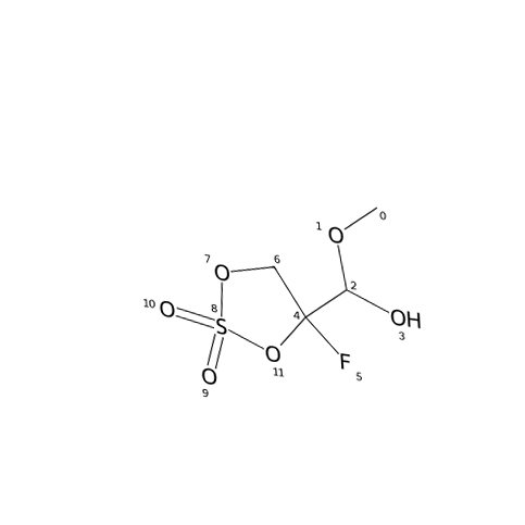 COC(O)C1(F)COS(=O)(=O)O1